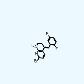 Fc1ccc(F)c(/C=C2\CCNc3nc(Br)ccc32)c1